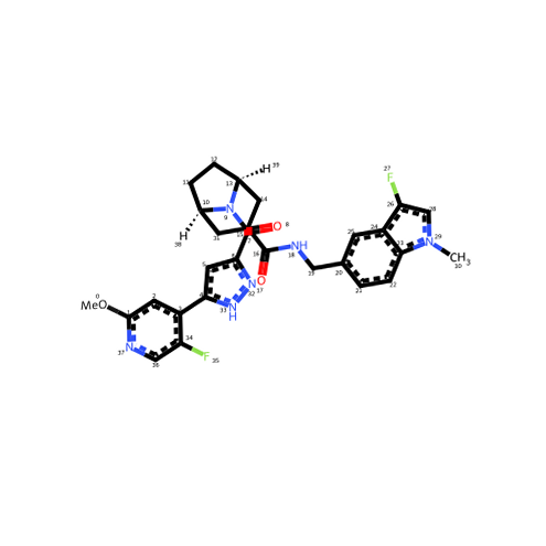 COc1cc(-c2cc(C(=O)N3[C@@H]4CC[C@H]3CC(C(=O)NCc3ccc5c(c3)c(F)cn5C)C4)n[nH]2)c(F)cn1